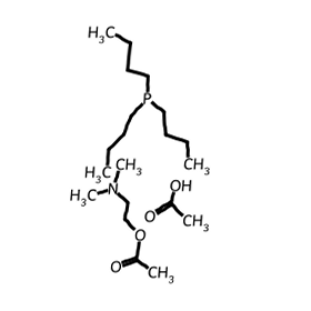 CC(=O)O.CC(=O)OCCN(C)C.CCCCP(CCCC)CCCC